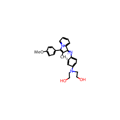 COc1ccc(C2=C(C)/C(=N\c3ccc(N(CCO)CCO)cc3)c3cccc[n+]32)cc1